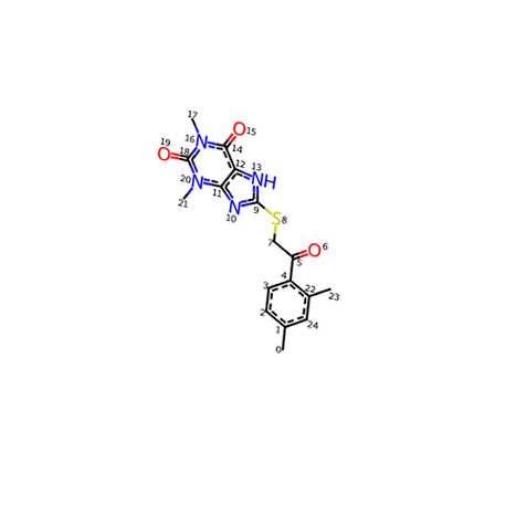 Cc1ccc(C(=O)CSc2nc3c([nH]2)c(=O)n(C)c(=O)n3C)c(C)c1